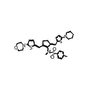 Cc1ccc(S(=O)(=O)N(C)C2=C(/C=C3\C=CC(=[N+]4CCOCC4)S3)CC/C2=C\c2ccc(N3CCCCC3)s2)cc1